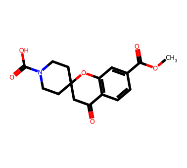 COC(=O)c1ccc2c(c1)OC1(CCN(C(=O)O)CC1)CC2=O